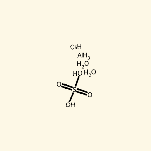 O.O.O=S(=O)(O)O.[AlH3].[CsH]